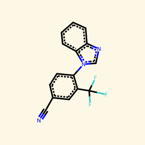 N#Cc1ccc(-n2cnc3ccccc32)c(C(F)(F)F)c1